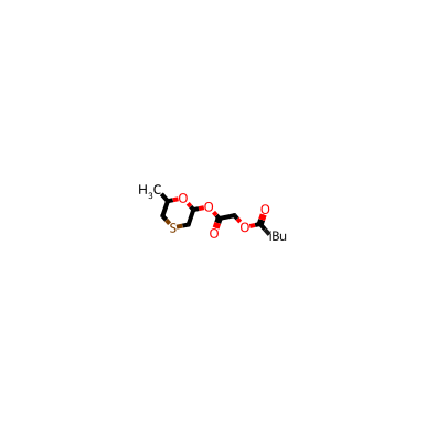 CCC(C)C(=O)OCC(=O)OC1CSCC(C)O1